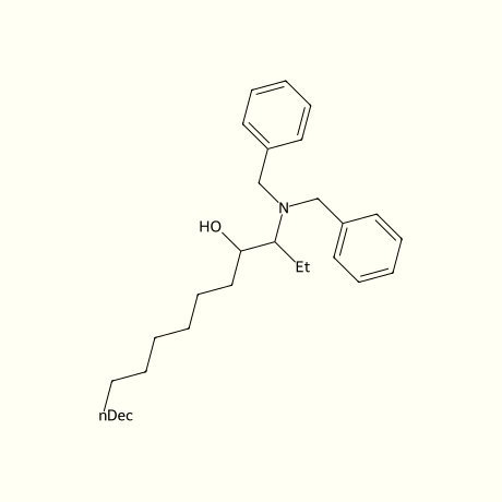 CCCCCCCCCCCCCCCCC(O)C(CC)N(Cc1ccccc1)Cc1ccccc1